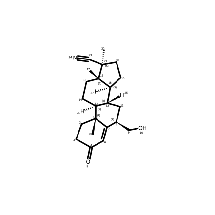 C[C@]12CCC(=O)C=C1[C@H](CO)C[C@@H]1[C@@H]2CC[C@@]2(C)[C@H]1CC[C@]2(C)C#N